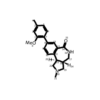 COc1cc(C)ccc1-c1ccc2c(c1)C(=O)NC[C@@H]1CN(C)C[C@@H]21